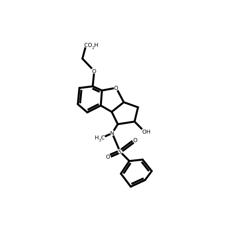 CN(C1C(O)CC2Oc3c(OCC(=O)O)cccc3C21)S(=O)(=O)c1ccccc1